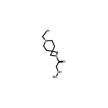 CC(C)CN1CCC2(CC1)CN(C(=O)CNC(C)(C)C)C2